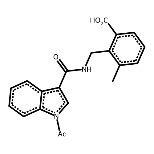 CC(=O)n1cc(C(=O)NCc2c(C)cccc2C(=O)O)c2ccccc21